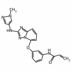 C=CC(=O)Nc1cccc(Oc2cccc3nc(Nc4cnn(C)c4)nn23)c1